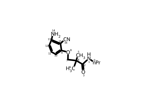 CCCNC(=O)C(C)(C)COc1cccc(N)c1C#N